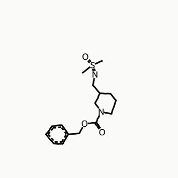 CS(C)(=O)=NCC1CCCN(C(=O)OCc2ccccc2)C1